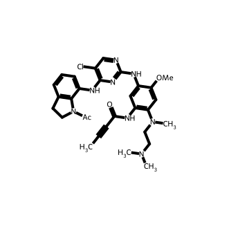 CC#CC(=O)Nc1cc(Nc2ncc(Cl)c(Nc3cccc4c3N(C(C)=O)CC4)n2)c(OC)cc1N(C)CCN(C)C